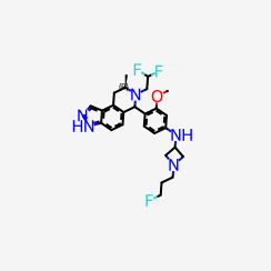 COc1cc(NC2CN(CCCF)C2)ccc1C1c2ccc3[nH]ncc3c2C[C@@H](C)N1CC(F)F